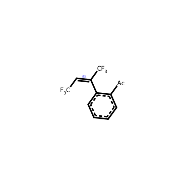 CC(=O)c1ccccc1/C(=C\C(F)(F)F)C(F)(F)F